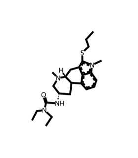 CCCSc1c2c3c(cccc3n1C)C1C[C@H](NC(=O)N(CC)CC)CN(C)[C@@H]1C2